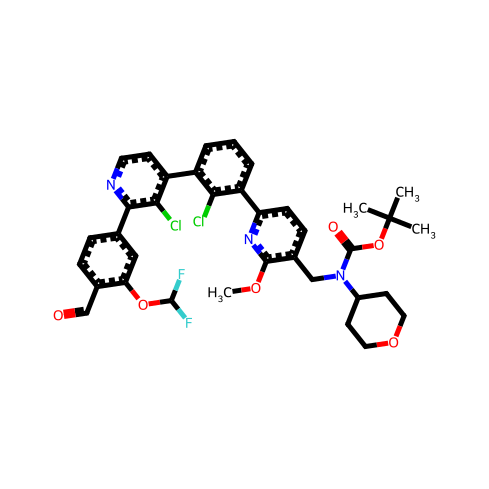 COc1nc(-c2cccc(-c3ccnc(-c4ccc(C=O)c(OC(F)F)c4)c3Cl)c2Cl)ccc1CN(C(=O)OC(C)(C)C)C1CCOCC1